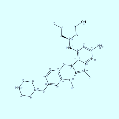 CCC[C@@H](CCO)Nc1nc(N)nc2c(C)nn(Cc3ccc(CN4CCNCC4)cc3OC)c12